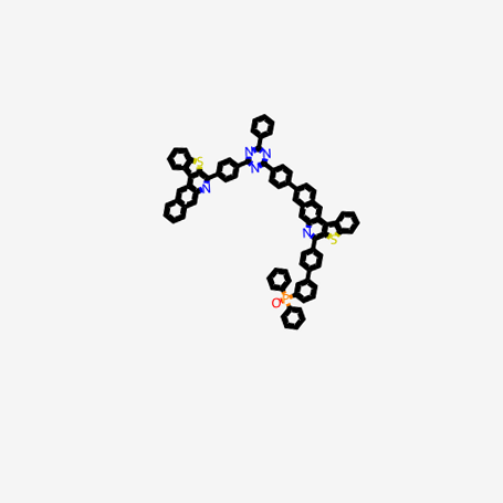 O=P(c1ccccc1)(c1ccccc1)c1cccc(-c2ccc(-c3nc4cc5cc(-c6ccc(-c7nc(-c8ccccc8)nc(-c8ccc(-c9nc%10cc%11ccccc%11cc%10c%10c9sc9ccccc9%10)cc8)n7)cc6)ccc5cc4c4c3sc3ccccc34)cc2)c1